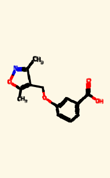 Cc1noc(C)c1COc1cccc(C(=O)O)c1